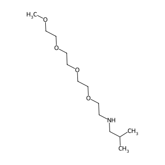 COCCOCCOCCOCCNCC(C)C